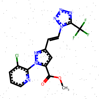 COC(=O)c1cc(C=Cn2nnnc2C(F)(F)F)nn1-c1ncccc1Cl